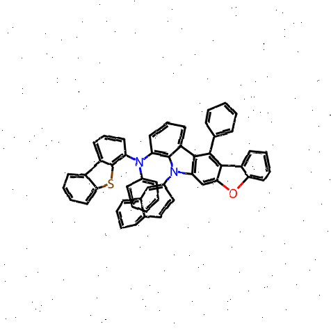 c1ccc(-c2c3c(cc4c2c2cccc(N(c5ccccc5)c5cccc6c5sc5ccccc56)c2n4-c2ccc4ccccc4c2)oc2ccccc23)cc1